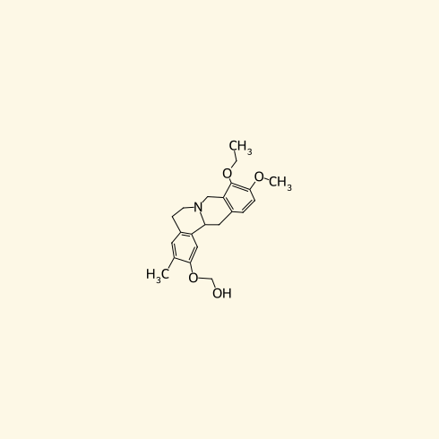 CCOc1c(OC)ccc2c1CN1CCc3cc(C)c(OCO)cc3C1C2